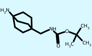 CC(C)(C)OC(=O)NCC12CCC(N)(CC1)CC2